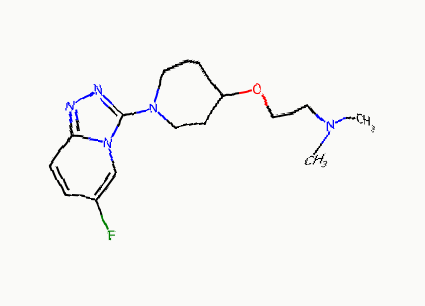 CN(C)CCOC1CCN(c2nnc3ccc(F)cn23)CC1